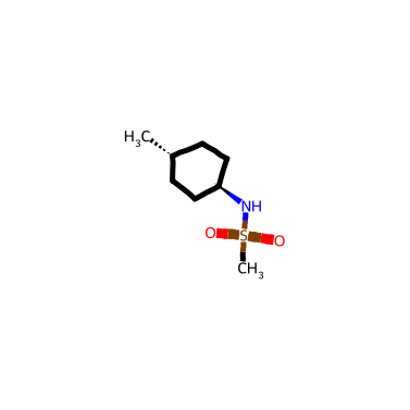 CS(=O)(=O)N[C@H]1CC[C@H](C)CC1